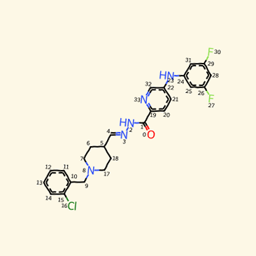 O=C(NN=CC1CCN(Cc2ccccc2Cl)CC1)c1ccc(Nc2cc(F)cc(F)c2)cn1